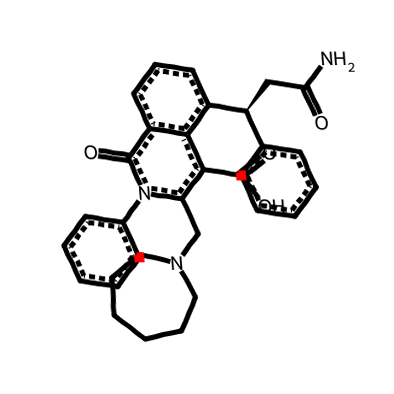 NC(=O)C[C@@H](c1ccccc1)c1cccc2c(=O)n(-c3ccccc3)c(CN3CCCCCC3)c(C(=O)O)c12